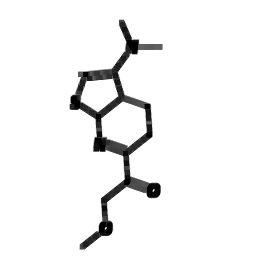 COCC(=O)C1=NC2S[C]=C(N(C)C)C2CC1